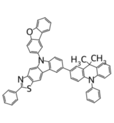 CC1(C)c2ccccc2N(c2ccccc2)c2ccc(-c3ccc4c(c3)c3cc5sc(-c6ccccc6)nc5cc3n4-c3ccc4oc5ccccc5c4c3)cc21